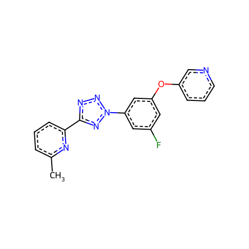 Cc1cccc(-c2nnn(-c3cc(F)cc(Oc4cccnc4)c3)n2)n1